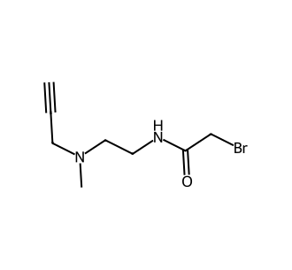 C#CCN(C)CCNC(=O)CBr